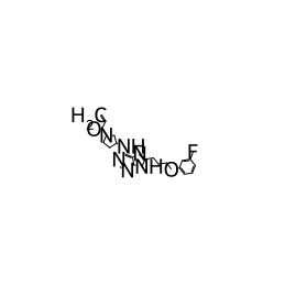 C=CC(=O)N1CCC(Nc2ncnc3[nH]c(CCCOc4cccc(F)c4)nc23)C1